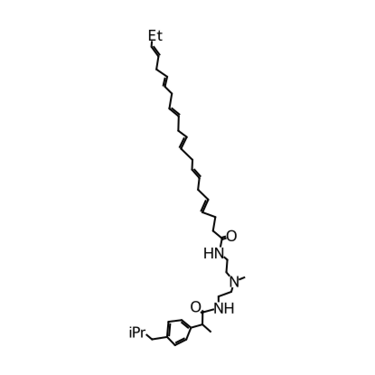 CCC=CCC=CCC=CCC=CCC=CCC=CCCC(=O)NCCN(C)CCNC(=O)C(C)c1ccc(CC(C)C)cc1